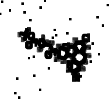 CC(C)(C)OC(=O)N1CC(CC(=O)N2CCC(C3c4ncc(Br)cc4CCc4cc(Cl)cc(Cl)c43)CC2)C1